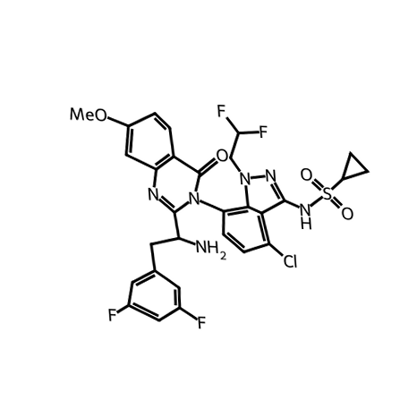 COc1ccc2c(=O)n(-c3ccc(Cl)c4c(NS(=O)(=O)C5CC5)nn(CC(F)F)c34)c(C(N)Cc3cc(F)cc(F)c3)nc2c1